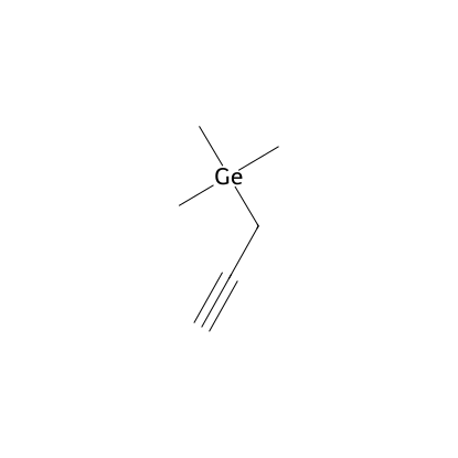 C#C[CH2][Ge]([CH3])([CH3])[CH3]